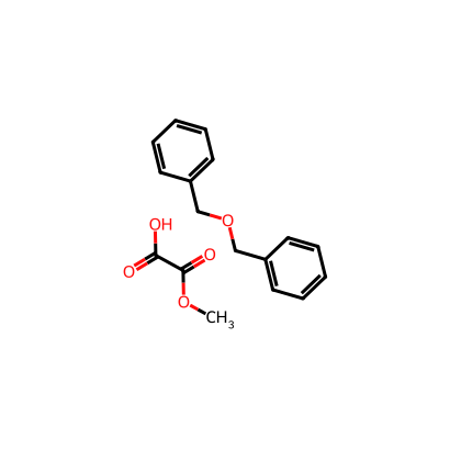 COC(=O)C(=O)O.c1ccc(COCc2ccccc2)cc1